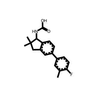 Cc1cc(-c2ccc3c(c2)CC(C)(C)C3NC(=O)O)ccc1F